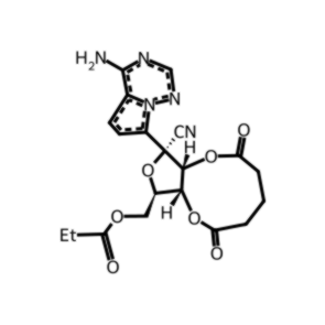 CCC(=O)OC[C@H]1O[C@@](C#N)(c2ccc3c(N)ncnn23)[C@@H]2OC(=O)CCCC(=O)O[C@@H]21